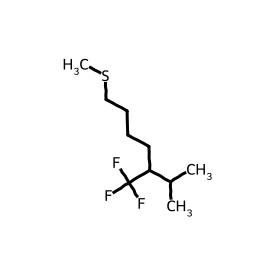 CSCCCCC(C(C)C)C(F)(F)F